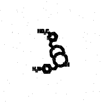 Nc1ccc(CC2CNCCN3CCCN(Cc4cccc(C(=O)O)n4)CCN(CC3)C2)cc1